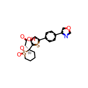 O=C(O)C[C@]1(c2ccc(-c3ccc(-c4cocn4)cc3)s2)CCCCS1(=O)=O